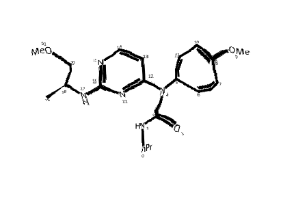 CCCNC(=O)N(c1ccc(OC)cc1)c1ccnc(N[C@@H](C)COC)n1